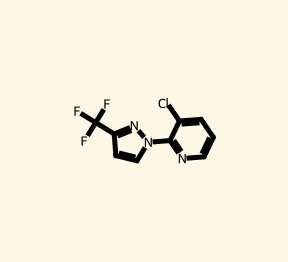 FC(F)(F)c1ccn(-c2ncccc2Cl)n1